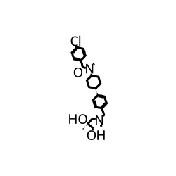 CN(Cc1ccc([C@H]2CC[C@H](N(C)C(=O)c3ccc(Cl)cc3)CC2)cc1)C[C@](C)(O)CO